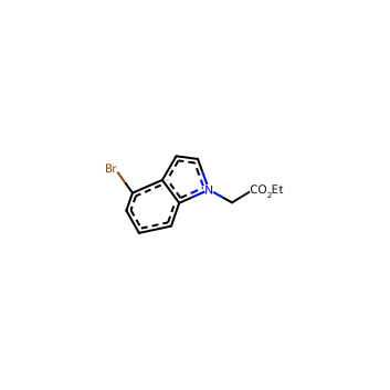 CCOC(=O)Cn1ccc2c(Br)cccc21